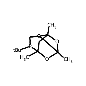 CC12CC3(C)OC(C)(CC(O1)P3C(C)(C)C)O2